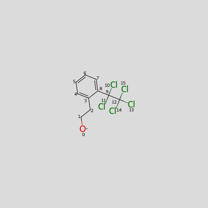 [O]CCc1ccccc1C(Cl)(Cl)C(Cl)(Cl)Cl